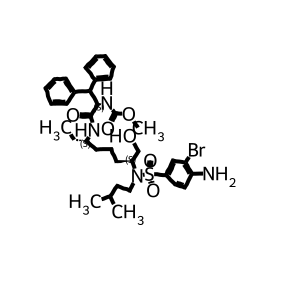 CC[C@@H](CCC[C@@H](CO)N(CCC(C)C)S(=O)(=O)c1ccc(N)c(Br)c1)NC(=O)[C@@H](NC(=O)OC)C(c1ccccc1)c1ccccc1